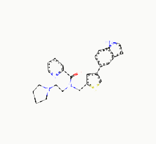 O=C(c1ccccn1)N(CCN1CCCC1)Cc1cc(-c2ccc3[nH]ccc3c2)cs1